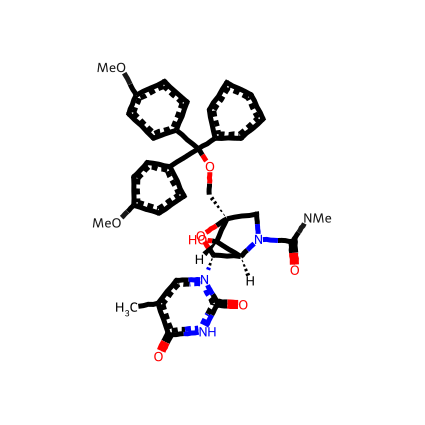 CNC(=O)N1C[C@]2(COC(c3ccccc3)(c3ccc(OC)cc3)c3ccc(OC)cc3)O[C@@H](n3cc(C)c(=O)[nH]c3=O)[C@H]1[C@@H]2O